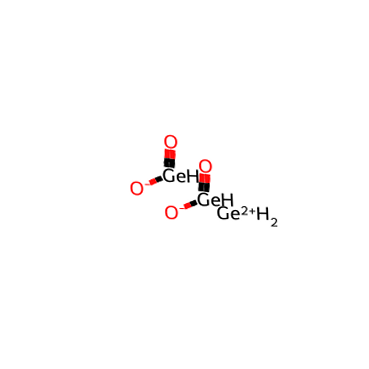 [GeH2+2].[O]=[GeH][O-].[O]=[GeH][O-]